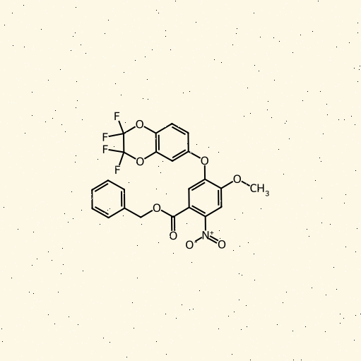 COc1cc([N+](=O)[O-])c(C(=O)OCc2ccccc2)cc1Oc1ccc2c(c1)OC(F)(F)C(F)(F)O2